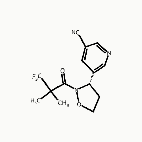 CC(C)(C(=O)N1OCC[C@H]1c1cncc(C#N)c1)C(F)(F)F